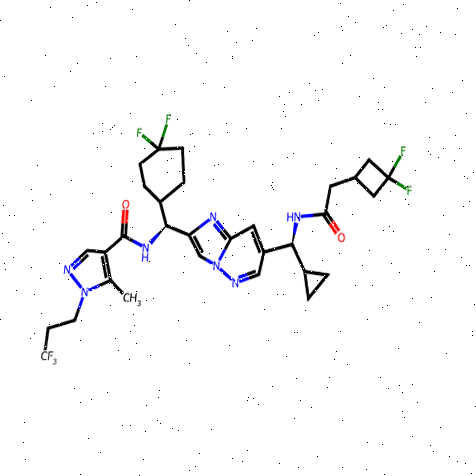 Cc1c(C(=O)N[C@H](c2cn3ncc([C@@H](NC(=O)CC4CC(F)(F)C4)C4CC4)cc3n2)C2CCC(F)(F)CC2)cnn1CCC(F)(F)F